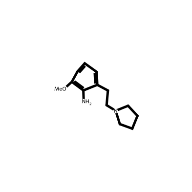 COc1cccc(CCN2CCCC2)c1N